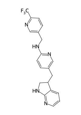 FC(F)(F)c1ccc(CNc2ccc(CC3CNc4ncccc43)cn2)cn1